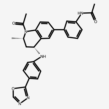 CC(=O)Nc1cccc(-c2ccc3c(c2)[C@H](Nc2ccc(-c4nnco4)cc2)C[C@H](C)N3C(C)=O)c1